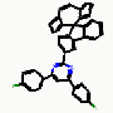 Fc1ccc(-c2cc(-c3ccc(F)cc3)nc(-c3ccc4c(c3)-c3ccccc3C43c4ccccc4C=Cc4ccccc43)n2)cc1